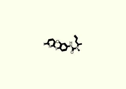 C=CCC(C)N(C)C(=O)Nc1ccc(Sc2cccc(I)n2)c(Cl)c1